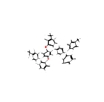 Fc1c(F)c(F)c(N(c2c(F)c(F)c(N(c3c(F)c(F)c(N(c4c(F)c(F)c(F)c(F)c4F)c4c(F)c(F)c(C(F)(F)F)c(F)c4F)c(F)c3F)c3c(F)c(F)c(C(F)(F)F)c(F)c3F)c(F)c2F)c2c(F)c(F)c(C(F)(F)F)c(F)c2F)c(F)c1F